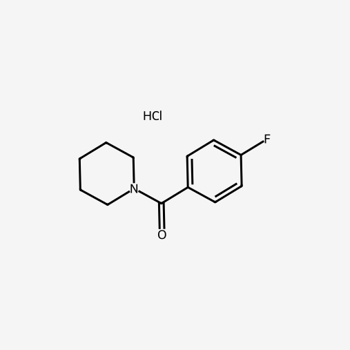 Cl.O=C(c1ccc(F)cc1)N1CCCCC1